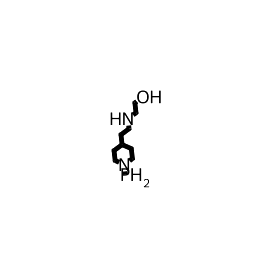 OCCNCCC1CCN(P)CC1